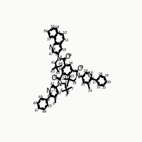 Cc1cc(N(CC(C)(C)C)C(=O)c2cc(C(=O)N(CC(C)(C)C)c3cnc(-c4ccccc4)c(C)c3)cc(C(=O)N(CC(C)(C)C)c3cnc4c(ccc5ccccc54)c3)c2)cnc1-c1ccccc1